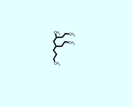 CCCCC([CH]C(C)CCC)CCC